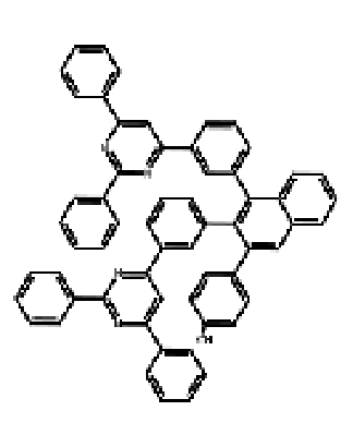 N#Cc1ccc(-c2cc3ccccc3c(-c3cccc(-c4cc(-c5ccccc5)nc(-c5ccccc5)n4)c3)c2-c2cccc(-c3cc(-c4ccccc4)nc(-c4ccccc4)n3)c2)cc1